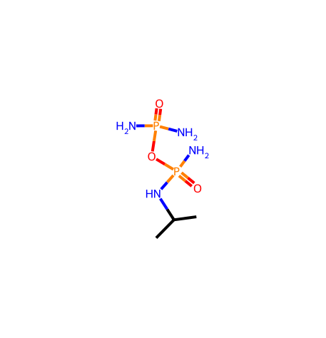 CC(C)NP(N)(=O)OP(N)(N)=O